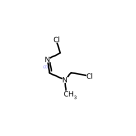 CN(/C=N\CCl)CCl